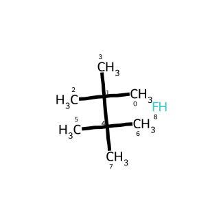 CC(C)(C)C(C)(C)C.F